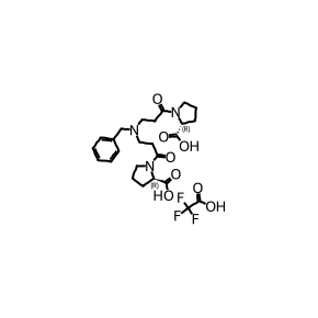 O=C(O)C(F)(F)F.O=C(O)[C@H]1CCCN1C(=O)CCN(CCC(=O)N1CCC[C@@H]1C(=O)O)Cc1ccccc1